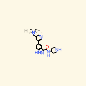 CN(C)Cc1cncc(-c2ccc3[nH]nc(C(=O)NC4CCNCC4)c3c2)c1